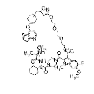 CN[C@@H](C)C(=O)N[C@H](C(=O)N1CCN(C(=O)c2c(C(=O)NCCOCCOCCOc3cc(CN4CCC(Oc5ccnc6ccsc56)CC4)on3)c3cc(F)c(OC)cc3n2C)CC1)C1CCCCC1